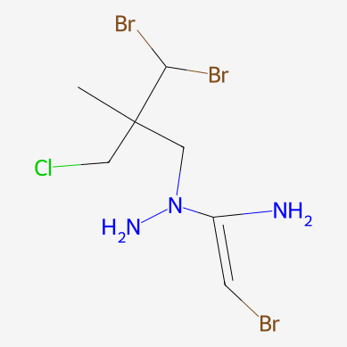 CC(CCl)(CN(N)/C(N)=C/Br)C(Br)Br